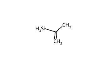 C=C(C)[SiH3]